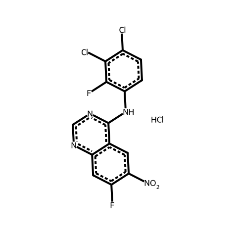 Cl.O=[N+]([O-])c1cc2c(Nc3ccc(Cl)c(Cl)c3F)ncnc2cc1F